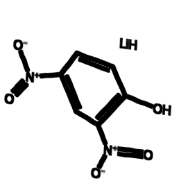 O=[N+]([O-])c1ccc(O)c([N+](=O)[O-])c1.[LiH]